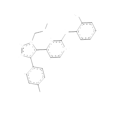 CCOCn1nnc(-c2ccc(F)cc2)c1-c1ccnc(Oc2ccccc2C#N)n1